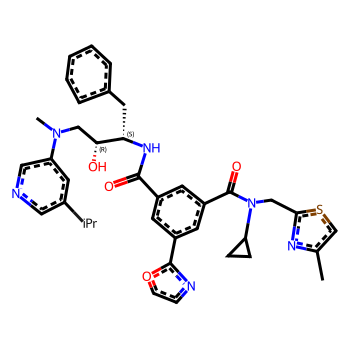 Cc1csc(CN(C(=O)c2cc(C(=O)N[C@@H](Cc3ccccc3)[C@H](O)CN(C)c3cncc(C(C)C)c3)cc(-c3ncco3)c2)C2CC2)n1